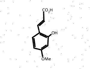 COc1ccc(C=CC(=O)O)c(O)c1